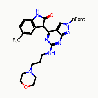 CCCCCn1cc2c(C3C(=O)Nc4ccc(C(F)(F)F)cc43)nc(NCCCN3CCOCC3)nc2n1